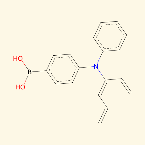 C=C/C=C(\C=C)N(c1ccccc1)c1ccc(B(O)O)cc1